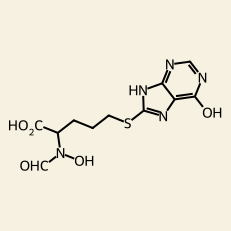 O=CN(O)C(CCCSc1nc2c(O)ncnc2[nH]1)C(=O)O